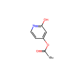 CC(C)(C)C(=O)Oc1ccnc(O)c1